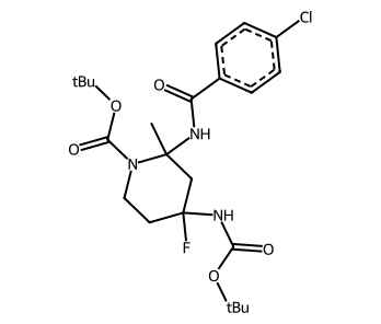 CC(C)(C)OC(=O)NC1(F)CCN(C(=O)OC(C)(C)C)C(C)(NC(=O)c2ccc(Cl)cc2)C1